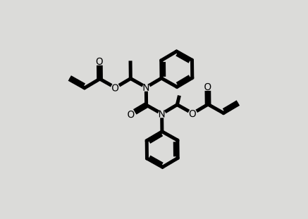 C=CC(=O)OC(C)N(C(=O)N(c1ccccc1)C(C)OC(=O)C=C)c1ccccc1